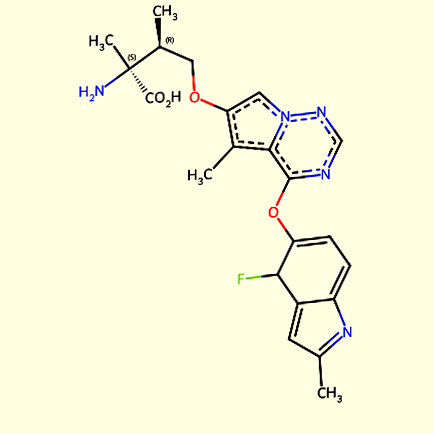 CC1=NC2=CC=C(Oc3ncnn4cc(OC[C@H](C)[C@](C)(N)C(=O)O)c(C)c34)C(F)C2=C1